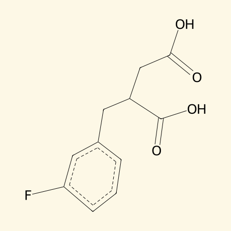 O=C(O)CC(Cc1cccc(F)c1)C(=O)O